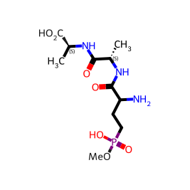 COP(=O)(O)CCC(N)C(=O)N[C@@H](C)C(=O)N[C@@H](C)C(=O)O